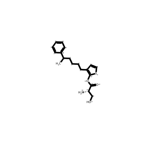 CC(CCCCc1ccsc1OC(=O)[C@@H](N)CO)c1ccccc1